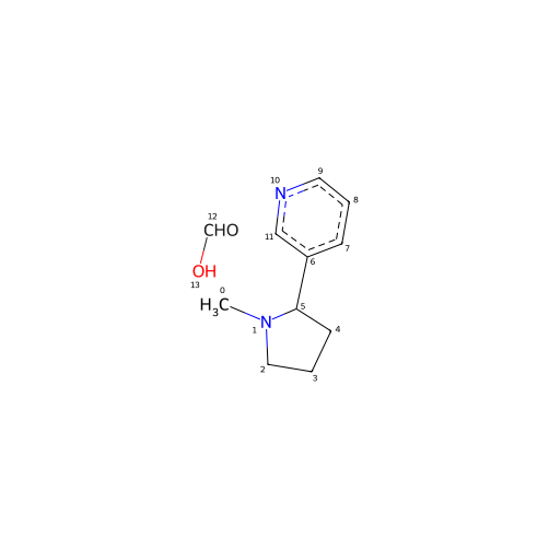 CN1CCCC1c1cccnc1.O=CO